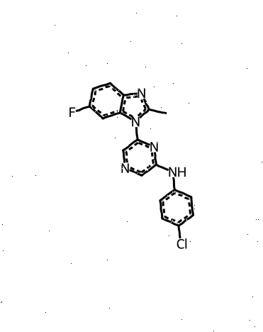 Cc1nc2ccc(F)cc2n1-c1cncc(Nc2ccc(Cl)cc2)n1